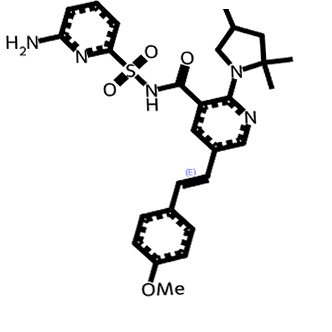 COc1ccc(/C=C/c2cnc(N3CC(C)CC3(C)C)c(C(=O)NS(=O)(=O)c3cccc(N)n3)c2)cc1